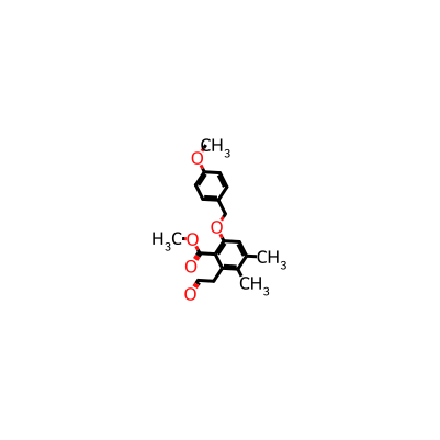 COC(=O)c1c(OCc2ccc(OC)cc2)cc(C)c(C)c1CC=O